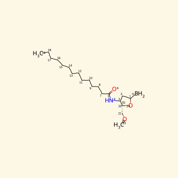 BC1CC(NC(=O)CCCCCCCCCCCCC)[C@@H](COC)O1